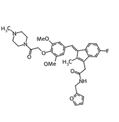 COc1cc(C=C2C(C)=C(CC(=O)NCc3ccco3)c3cc(F)ccc32)cc(OC)c1OCC(=O)N1CCN(C)CC1